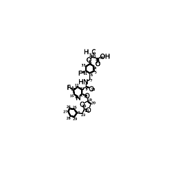 C[C@@H](Oc1ccc(CNC(=O)c2cc(F)cnc2OC2=COC(Cc3ccccc3)O2)c(F)c1)C(=O)O